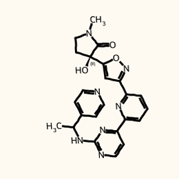 CC(Nc1nccc(-c2cccc(-c3cc([C@]4(O)CCN(C)C4=O)on3)n2)n1)c1ccncc1